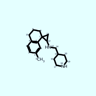 Cc1ccc2c(c1)C1(CCC2)CC1NCC1CCNCC1